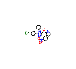 O=C(c1ccccn1)c1c(-c2ccccc2[N+](=O)[O-])nc(-c2ccc(Br)cc2)n1-c1ccccc1